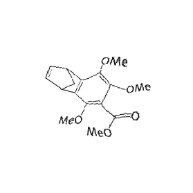 COC(=O)c1c(OC)c(OC)c2c(c1OC)C1C=CC2C1